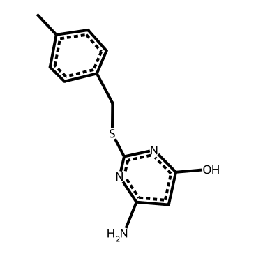 Cc1ccc(CSc2nc(N)cc(O)n2)cc1